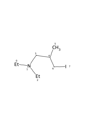 CCN(CC)CC(C)CI